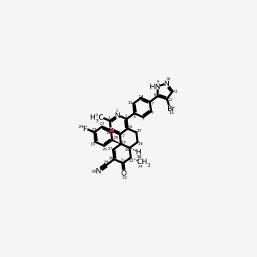 Cc1nc(-c2ccc(-c3[nH]ncc3Br)cc2)c2c(n1)[C@@]1(c3ccc(F)cc3)C=C(C#N)C(=O)[C@@H](C)[C@@H]1CC2